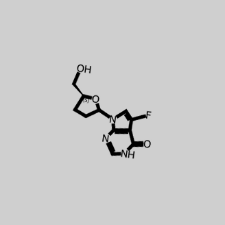 O=c1[nH]cnc2c1c(F)cn2C1CC[C@@H](CO)O1